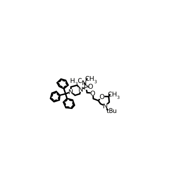 CC1CN(C(C)(C)C)CC(COCP(=O)(N(C)C)N2CCN(C(c3ccccc3)(c3ccccc3)c3ccccc3)CC2)O1